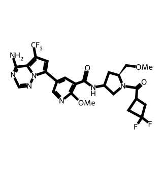 COC[C@@H]1CC(NC(=O)c2cc(-c3cc(C(F)(F)F)c4c(N)ncnn34)cnc2OC)CN1C(=O)C1CC(F)(F)C1